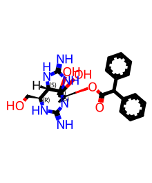 N=C1N[C@H]2[C@H](CO)NC(=N)N3C[C@H](OC(=O)C(c4ccccc4)c4ccccc4)C(O)(O)[C@]23N1